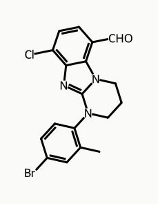 Cc1cc(Br)ccc1N1CCCn2c1nc1c(Cl)ccc(C=O)c12